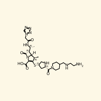 C[C@@H](NC(=O)Cn1cnnn1)[C@H]1C(=O)N2C(C(=O)O)=C(S[C@@H]3CN[C@H](C(=O)N4CCC(CNCCN)CC4)C3)[C@H](C)[C@H]12